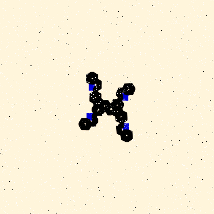 c1ccc2nc(-c3ccc4c(c3)c3cc5c(cc6c7cc(-c8ccc9ccccc9n8)ccc7c7cc(-c8ccc9ccccc9n8)cc5c76)c5cc(-c6ccc7ccccc7n6)cc4c53)ccc2c1